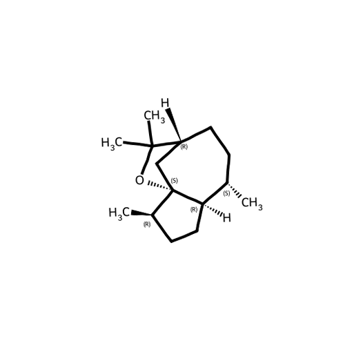 C[C@@H]1CC[C@@H]2[C@@H](C)CC[C@@H]3C[C@]12OC3(C)C